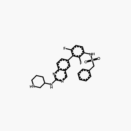 O=S(=O)(Cc1ccccc1)Nc1ccc(F)c(-c2ccc3nc(NC4CCCNC4)ncc3c2)c1F